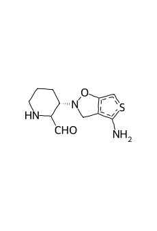 Nc1scc2c1CN([C@H]1CCCNC1C=O)O2